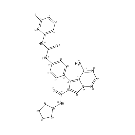 Cc1cccc(NC(=O)Nc2ccc(-c3c(C(=O)NC4CCCC4)cn4ncnc(N)c34)cc2)n1